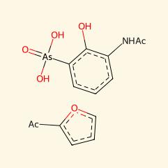 CC(=O)Nc1cccc([As](=O)(O)O)c1O.CC(=O)c1ccco1